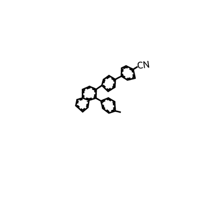 Cc1ccc(-c2c(-c3ccc(-c4ccc(C#N)cc4)cc3)ccc3ccccc23)cc1